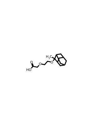 CC1(OCCOCC(=O)O)C2CC3CC(C2)CC1C3